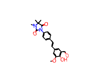 COc1cc(/C=C/c2ccc(N3C(=O)N(C)C(C)(C)C3=O)cc2)cc(C=O)c1O